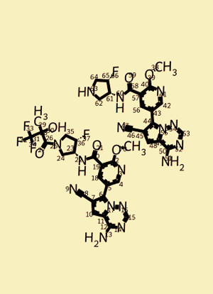 COc1ncc(-c2c(C#N)cc3c(N)ncnn23)cc1C(=O)N[C@@H]1CN(C(=O)C(C)(O)C(F)(F)F)C[C@@H]1F.COc1ncc(-c2c(C#N)cc3c(N)ncnn23)cc1C(=O)N[C@@H]1CNC[C@@H]1F